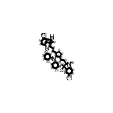 CN1C(=CC=C2CCC(C=CC3=[N+](C)c4ccc(Cl)cc4C3(C)C)=C2N(c2ccccc2)c2ccccc2)C23C[C@@H]2c2c(Cl)ccc1c23